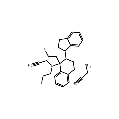 C#CCN.C#CCN(CCF)C1(CCF)c2ccccc2CCC1C1CCc2ccccc21